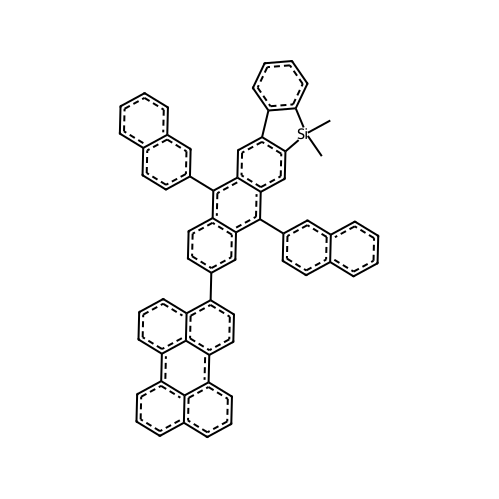 C[Si]1(C)c2ccccc2-c2cc3c(-c4ccc5ccccc5c4)c4ccc(-c5ccc6c7cccc8cccc(c9cccc5c96)c87)cc4c(-c4ccc5ccccc5c4)c3cc21